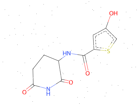 O=C1CCC(NC(=O)c2cc(O)cs2)C(=O)N1